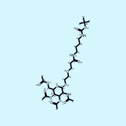 CC(=O)NC1C(OC(C)=O)[C@@H](OC(C)=O)C(COC(C)=O)O[C@H]1OCCOCCC(=O)NCCCCNC(=O)OC(C)(C)C